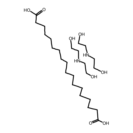 O=C(O)CCCCCCCCCCCCCCCCC(=O)O.OCCNCCO.OCCNCCO